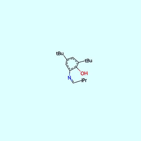 CC(C)/C=N\c1cc(C(C)(C)C)cc(C(C)(C)C)c1O